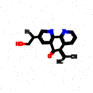 CCC(CO)c1cnc2c(c1)C(=O)C(=C(C#N)C#N)c1cccnc1-2